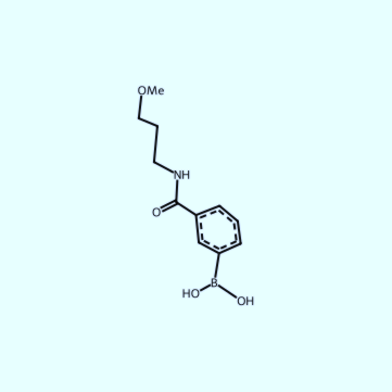 COCCCNC(=O)c1cccc(B(O)O)c1